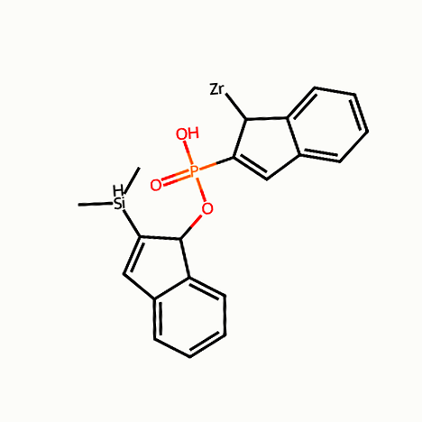 C[SiH](C)C1=Cc2ccccc2C1OP(=O)(O)C1=Cc2ccccc2[CH]1[Zr]